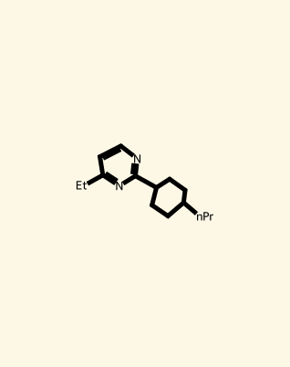 CCCC1CCC(c2nccc(CC)n2)CC1